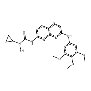 COc1cc(Nc2cnc3ccc(NC(=O)N(S)C4CC4)nc3n2)cc(OC)c1OC